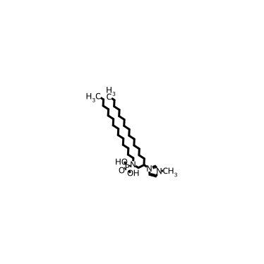 CCCCCCCCCCCCCCC(CN(CCCCCCCCCCCCCC)P(=O)(O)O)[n+]1ccn(C)c1